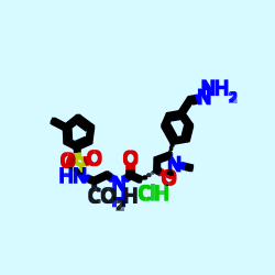 Cc1cccc(S(=O)(=O)N[C@@H](CNC(=O)C[C@@H]2C[C@H](c3ccc(C=NN)cc3)N(C)O2)C(=O)O)c1.Cl